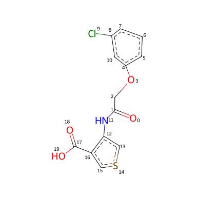 O=C(COc1cccc(Cl)c1)Nc1cscc1C(=O)O